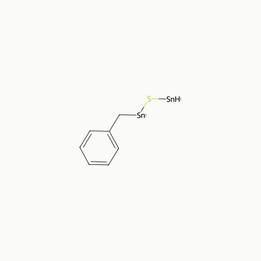 [SnH][S][Sn][CH2]c1ccccc1